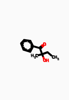 CCC(C)(O)C(=O)c1ccccc1